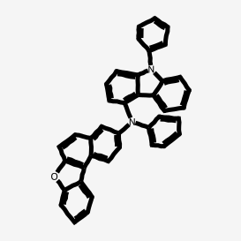 c1ccc(N(c2ccc3c(ccc4oc5ccccc5c43)c2)c2cccc3c2c2ccccc2n3-c2ccccc2)cc1